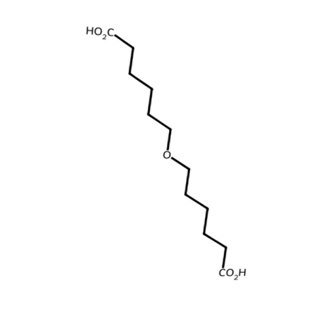 O=C(O)CCCCCOCCCCCC(=O)O